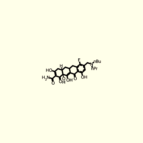 CCCCN(CCC)Cc1cc(O)c2c(c1F)CC1C[C@H]3CC(O)=C(C(N)=O)C(=O)[C@@]3(O)C(O)=C1C2=O